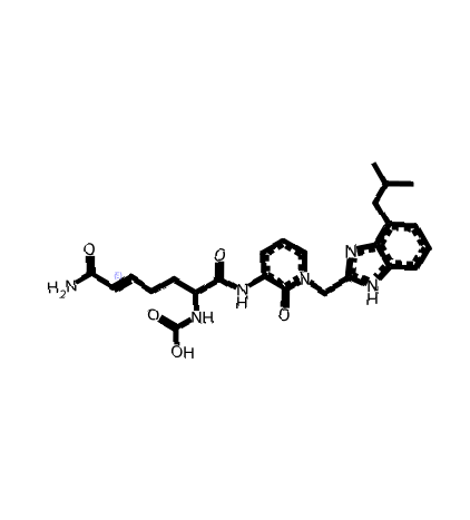 CC(C)Cc1cccc2[nH]c(Cn3cccc(NC(=O)C(CC/C=C/C(N)=O)NC(=O)O)c3=O)nc12